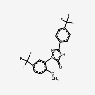 COc1ccc(C(F)(F)F)cc1-n1nc(-c2ccc(C(F)(F)F)cc2)[nH]c1=O